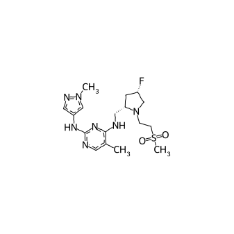 Cc1cnc(Nc2cnn(C)c2)nc1NC[C@@H]1C[C@H](F)CN1CCS(C)(=O)=O